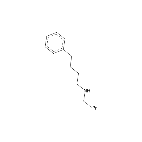 CC(C)CNCCCCc1ccccc1